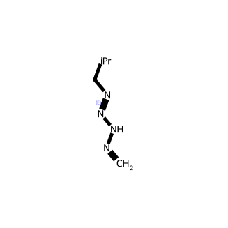 C=NN/N=N/CC(C)C